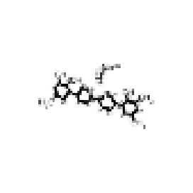 Cc1cc(C)c(O)c(-c2ccc(-c3ccc(-c4cc(C)cc(C)c4O)cn3)nc2)c1.[Cl-].[Cl-].[Cl-].[Mn+3]